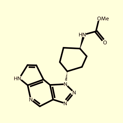 COC(=O)N[C@H]1CC[C@H](n2nnc3cnc4[nH]ccc4c32)CC1